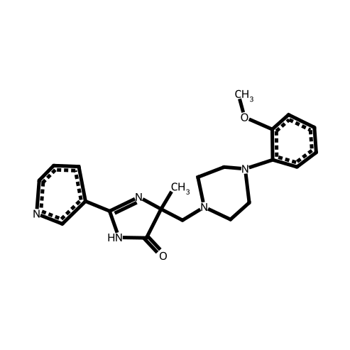 COc1ccccc1N1CCN(CC2(C)N=C(c3cccnc3)NC2=O)CC1